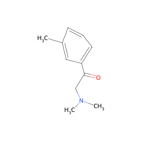 Cc1cccc(C(=O)CN(C)C)c1